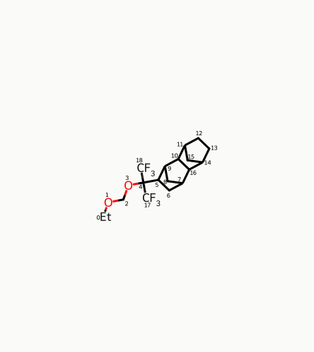 CCOCOC(C1CC2CC1C1C3CCC(C3)C21)(C(F)(F)F)C(F)(F)F